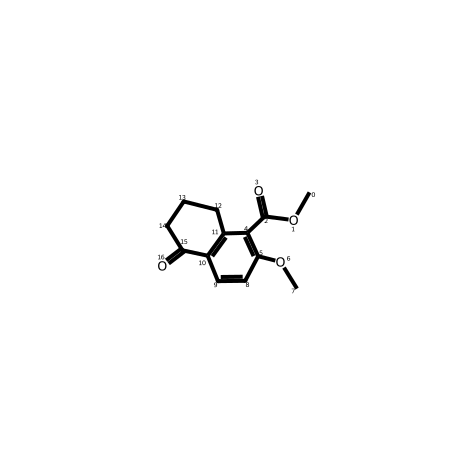 COC(=O)c1c(OC)ccc2c1CCCC2=O